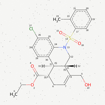 CCOC(=O)[C@H]1CC=C(CO)[C@H]2CN(S(=O)(=O)c3ccccc3C)c3cc(Cl)ccc3[C@H]12